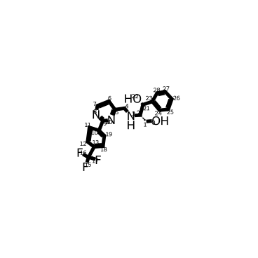 OC[C@H](NCc1ccnc(-c2ccc(C(F)(F)F)cc2)n1)[C@@H](O)c1ccccc1